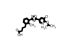 Cc1c(CCCC(=O)O)cccc1-c1noc(-c2cnc(OC(C)C)c(Cl)c2)n1